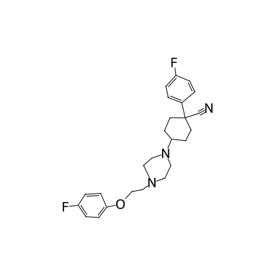 N#CC1(c2ccc(F)cc2)CCC(N2CCN(CCOc3ccc(F)cc3)CC2)CC1